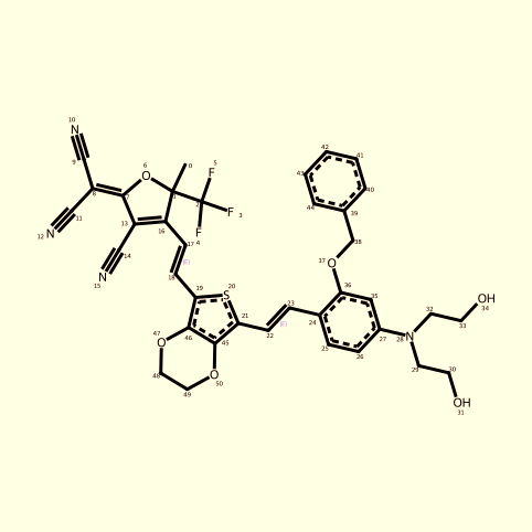 CC1(C(F)(F)F)OC(=C(C#N)C#N)C(C#N)=C1/C=C/c1sc(/C=C/c2ccc(N(CCO)CCO)cc2OCc2ccccc2)c2c1OCCO2